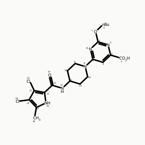 CCCCOc1nc(C(=O)O)cc(N2CCC(NC(=O)c3[nH]c(C)c(Cl)c3Cl)CC2)n1